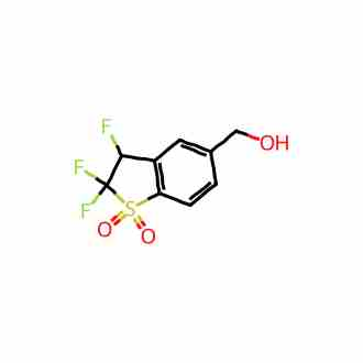 O=S1(=O)c2ccc(CO)cc2C(F)C1(F)F